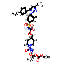 Cc1ccc(-c2cc(C(F)(F)F)nn2-c2ccc(S(=O)(=O)NC(=O)OCC3CCN(/[N+]([O-])=N/OC(C)OC(=O)OC(C)(C)C)CC3)cc2)cc1